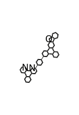 c1ccc2c(c1)oc1cc3c4ccc(-c5ccc(-c6ccc7c8ccccc8c8cccnc8c7n6)cc5)cc4c4ccccc4c3cc12